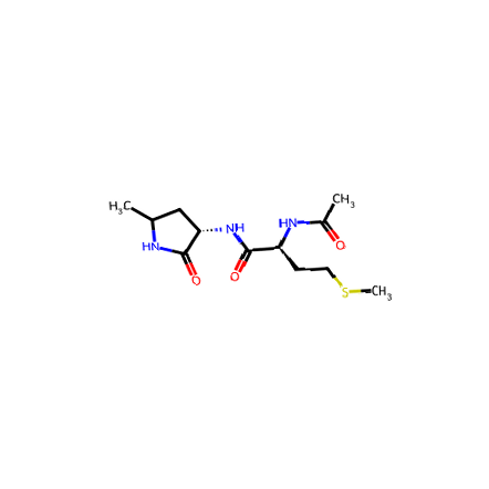 CSCC[C@H](NC(C)=O)C(=O)N[C@H]1CC(C)NC1=O